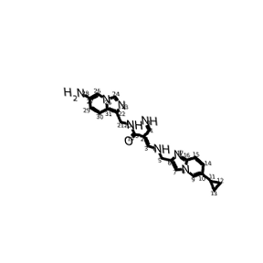 N=C/C(=C\NCc1cn2cc(C3CC3)ccc2n1)C(=O)NCc1ncn2cc(N)ccc12